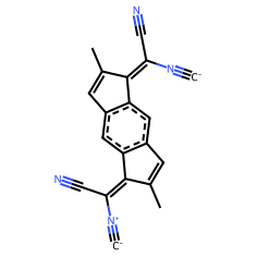 [C-]#[N+]/C(C#N)=C1/C(C)=Cc2cc3c(cc21)C=C(C)/C3=C(/C#N)[N+]#[C-]